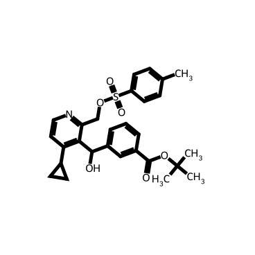 Cc1ccc(S(=O)(=O)OCc2nccc(C3CC3)c2C(O)c2cccc(C(=O)OC(C)(C)C)c2)cc1